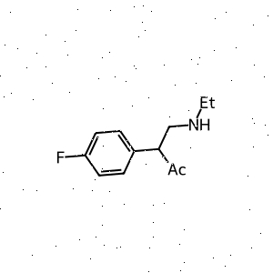 CCNCC(C(C)=O)c1ccc(F)cc1